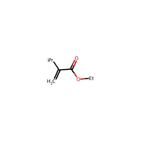 C=C(C(=O)OCC)C(C)C